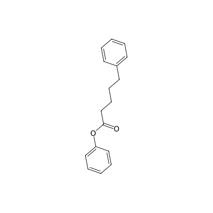 O=C(CCCCc1ccccc1)Oc1ccccc1